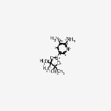 CC1(C)OB(c2cnc(N)c(N)c2)OC1(C)C